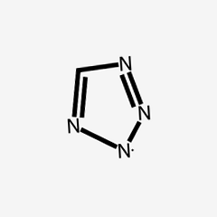 C1=N[N]N=N1